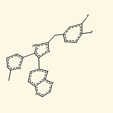 Cc1cccc(-c2[nH]c(Cc3ccc(F)c(F)c3)nc2-c2ccc3nccnc3c2)n1